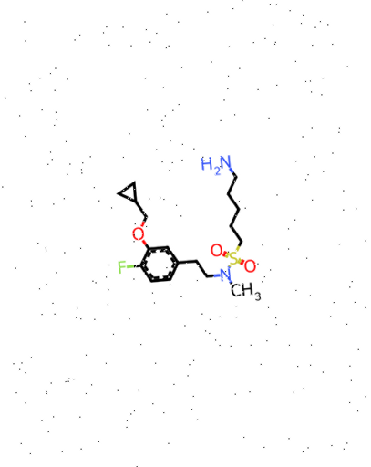 CN(CCc1ccc(F)c(OCC2CC2)c1)S(=O)(=O)CCCCCN